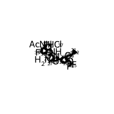 CC(=O)NC[C@@H](NC(=O)c1nc(-c2ccc(OC(F)F)c(OCC3CC3)c2)oc1[C@H](C)N)c1ccc(F)cc1F.Cl